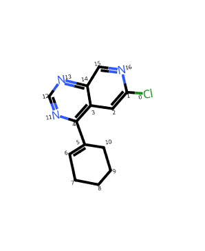 Clc1cc2c(C3=CCCCC3)ncnc2cn1